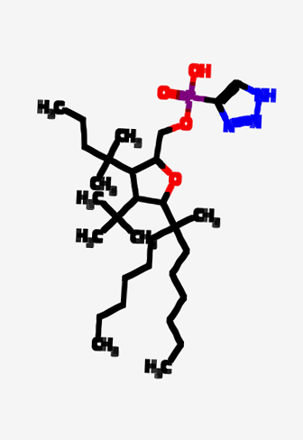 CCCCCCC(C)(CCCCCC)C1OC(COP(=O)(O)c2c[nH]nn2)C(C(C)(C)CCC)C1C(C)(C)C